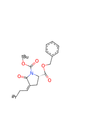 CC(C)CC=C1C[C@@H](C(=O)OCc2ccccc2)N(C(=O)OC(C)(C)C)C1=O